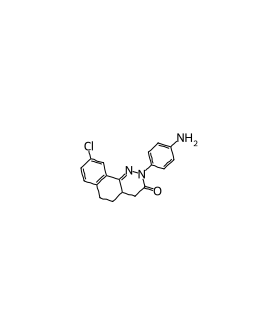 Nc1ccc(N2N=C3c4cc(Cl)ccc4CCC3CC2=O)cc1